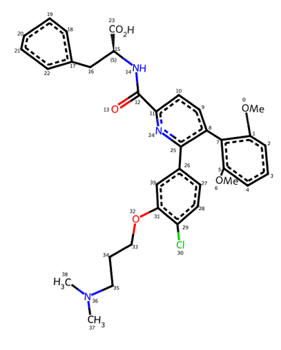 COc1cccc(OC)c1-c1ccc(C(=O)N[C@@H](Cc2ccccc2)C(=O)O)nc1-c1ccc(Cl)c(OCCCN(C)C)c1